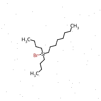 CCCCCCCC[Si](Br)(CCCC)CCCC